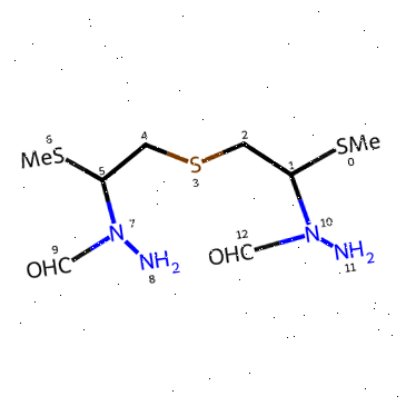 CSC(CSCC(SC)N(N)C=O)N(N)C=O